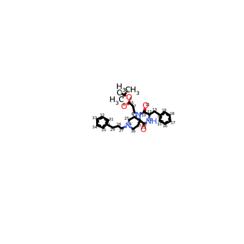 CC(C)(C)OC(=O)CCN1C(=O)C(Cc2ccccc2)NC(=O)C12CCN(CCCc1ccccc1)CC2